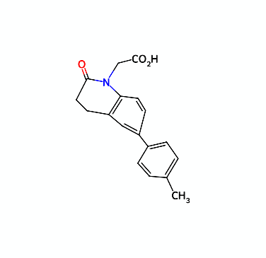 Cc1ccc(-c2ccc3c(c2)CCC(=O)N3CC(=O)O)cc1